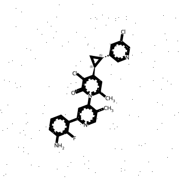 Cc1cnc(-c2cccc(N)c2F)cc1-n1c(C)cc([C@H]2C[C@@H]2c2cncc(Cl)c2)c(Cl)c1=O